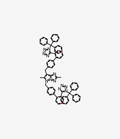 Cc1nc2c(Cc3ccc(-c4ccccc4-c4nnnn4C(c4ccccc4)(c4ccccc4)c4ccccc4)cc3)c(C)n(Cc3ccc(-c4ccccc4-c4nnnn4C(c4ccccc4)(c4ccccc4)c4ccccc4)cc3)n2n1